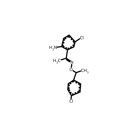 C/C(=N\OC(C)c1ccc(Cl)cc1)c1cc(Cl)ccc1N